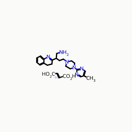 Cc1cnc(N2CCN(CCC(CN)C3=Nc4ccccc4CC3)CC2)nc1.O=C(O)/C=C/C(=O)O